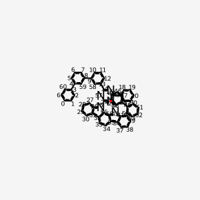 c1ccc(-c2cccc(-c3cccc(-c4nc(-c5ccccc5)nc(-n5c6ccccc6c6ccc7c8ccccc8n(-c8ccccc8-c8ccccc8)c7c65)n4)c3)c2)cc1